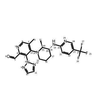 Cc1cnc(C=O)c(-n2nccn2)c1N1CCC[C@@H](Nc2ccc(C(F)(F)F)cn2)[C@@H]1C